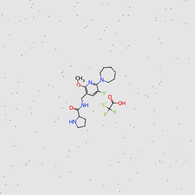 COc1nc(N2CCCCCC2)c(F)cc1CNC(=O)C1CCCN1.O=C(O)C(F)(F)F